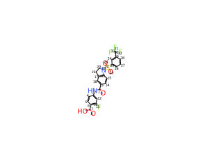 O=C(Nc1ccc(C(=O)O)c(F)c1)c1ccc2c(c1)CCN2S(=O)(=O)c1cccc(C(F)(F)F)c1